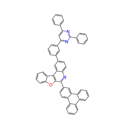 c1ccc(-c2cc(-c3cccc(-c4ccc5nc(-c6ccc7c8ccccc8c8ccccc8c7c6)c6oc7ccccc7c6c5c4)c3)nc(-c3ccccc3)n2)cc1